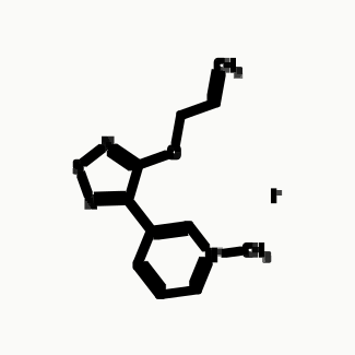 C=CCOc1nsnc1-c1ccc[n+](C)c1.[I-]